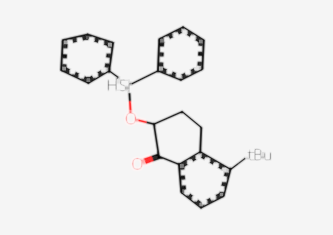 CC(C)(C)c1cccc2c1CCC(O[SiH](c1ccccc1)c1ccccc1)C2=O